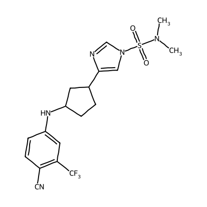 CN(C)S(=O)(=O)n1cnc(C2CCC(Nc3ccc(C#N)c(C(F)(F)F)c3)C2)c1